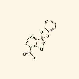 O=[N+]([O-])c1cccc(S(=O)(=O)Oc2ccccc2)c1Cl